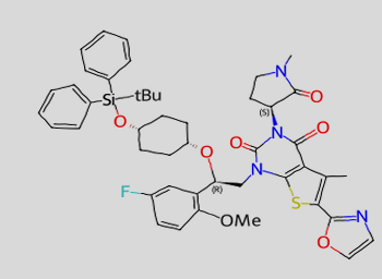 COc1ccc(F)cc1[C@H](Cn1c(=O)n([C@H]2CCN(C)C2=O)c(=O)c2c(C)c(-c3ncco3)sc21)O[C@H]1CC[C@@H](O[Si](c2ccccc2)(c2ccccc2)C(C)(C)C)CC1